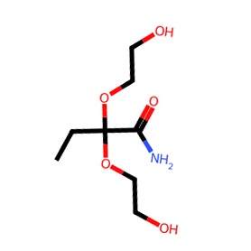 CCC(OCCO)(OCCO)C(N)=O